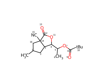 CC1CC2C(C(C)OC(=O)C(C)(C)C)OC(=O)C2(C#N)C1